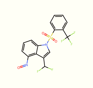 O=Nc1cccc2c1c(C(F)F)cn2S(=O)(=O)c1ccccc1C(F)(F)F